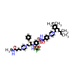 C=C(CC)CCC1=C(CN2CCN(c3ccc(C(=O)NS(=O)(=O)c4ccc(N[C@H](CCN5CCN(CCCC(=O)NC)CC5)CSc5ccccc5)c(S(=O)(=O)C(F)(F)F)c4)cc3)CC2)CCC(C)(C)C1